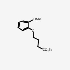 CCOC(=O)CCCOc1ccccc1OC